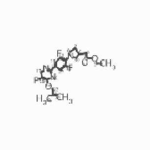 CCOC(=O)CC1CCN(c2c(F)cc(-c3ncc(F)c(OCC(C)C)n3)cc2F)C1